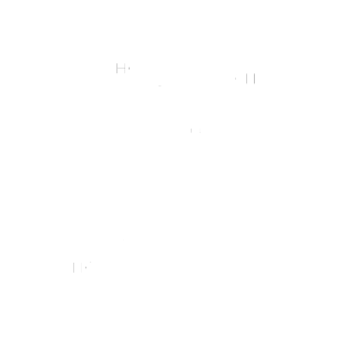 CCP(=O)(O)Cc1cccc(O)c1